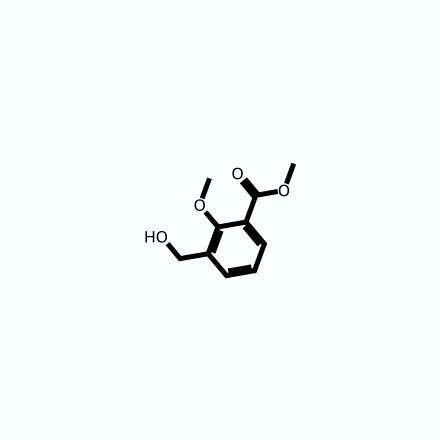 COC(=O)c1cccc(CO)c1OC